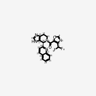 O=C(c1ocnc1C(F)F)N1CCc2nc[nH]c2[C@@H]1c1ccc2ccccc2n1